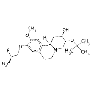 COc1cc2c(cc1OC[C@@H](C)F)CCN1C[C@@H](OC(C)(C)C)[C@H](O)C[C@H]21